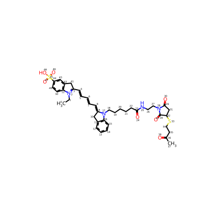 CC[N+]1=C(/C=C/C=C/C=C2\Cc3ccccc3N2CCCCCC(=O)NCCN2C(=O)CC(SCCC(C)=O)C2=O)Cc2cc(S(=O)(=O)O)ccc21